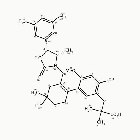 COc1cc(F)c(CC(C)(C)C(=O)O)cc1C1=C(CN2C(=O)O[C@H](c3cc(C(F)(F)F)cc(C(F)(F)F)c3)[C@@H]2C)CC(C)(C)CC1